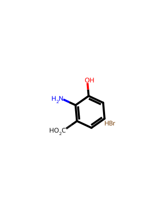 Br.Nc1c(O)cccc1C(=O)O